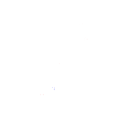 Cc1oc(-c2ccccc2)nc1CCOCC=CCOC1CCCCO1